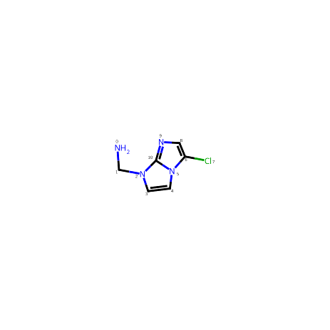 NCn1ccn2c(Cl)cnc12